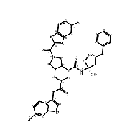 CNC[C@@](C=O)(CCCc1ccccc1)NC(=O)C1CN(C(=O)Cc2c[nH]c3cc(Cl)ccc23)CC2CN(C(=O)c3cc4cc(C)ccc4[nH]3)CC21